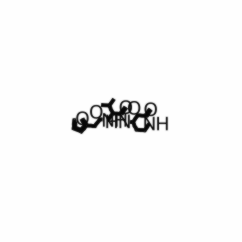 CC(C)C(NC(=O)Cc1ccco1)C(=O)NC1CCNC(=O)C1=O